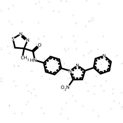 CC1(C(=O)Nc2ccc(-n3nc(-c4cccnc4)cc3[N+](=O)[O-])cc2)CSN=N1